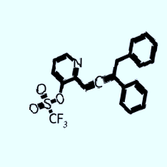 O=S(=O)(Oc1cccnc1C=C=C(Cc1ccccc1)c1ccccc1)C(F)(F)F